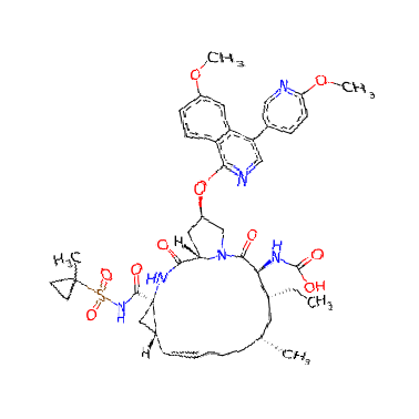 CC[C@@H]1C[C@H](C)CC/C=C\[C@@H]2C[C@@]2(C(=O)NS(=O)(=O)C2(C)CC2)NC(=O)[C@@H]2C[C@@H](Oc3ncc(-c4ccc(OC)nc4)c4cc(OC)ccc34)CN2C(=O)[C@H]1NC(=O)O